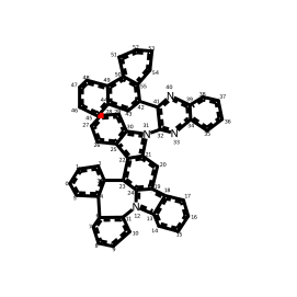 c1ccc2c(c1)-c1ccccc1-n1c3ccccc3c3cc4c(c-2c31)c1ccccc1n4-c1nc2ccccc2nc1-c1cc2ccccc2c2ccccc12